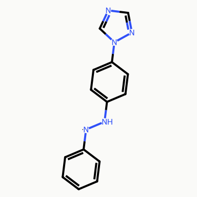 c1ccc([N]Nc2ccc(-n3cncn3)cc2)cc1